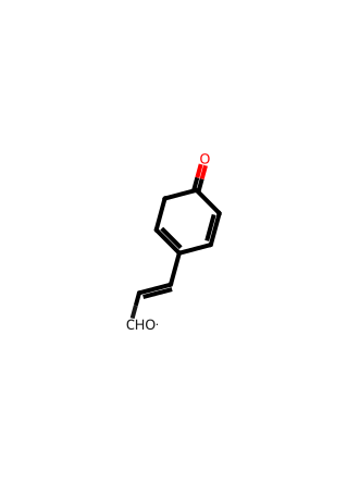 O=[C]C=CC1=CCC(=O)C=C1